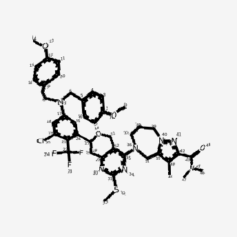 COc1ccc(CN(Cc2ccc(OC)cc2)c2cc(Cl)c(C(F)(F)F)c(C3Cc4nc(SC)nc(N5CCCn6nc(C(=O)N(C)C)c(C)c6C5)c4CO3)c2)cc1